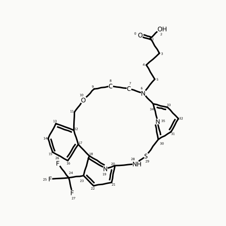 O=C(O)CCCN1CCCOCc2ccccc2-c2nc(ccc2C(F)(F)F)NSc2cccc1n2